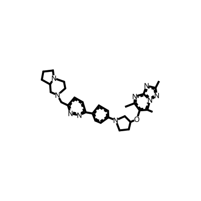 Cc1nc2nc(C)c(OC3CCN(c4ccc(-c5ccc(CN6CCN7CCCC7C6)nn5)cc4)C3)c(C)n2n1